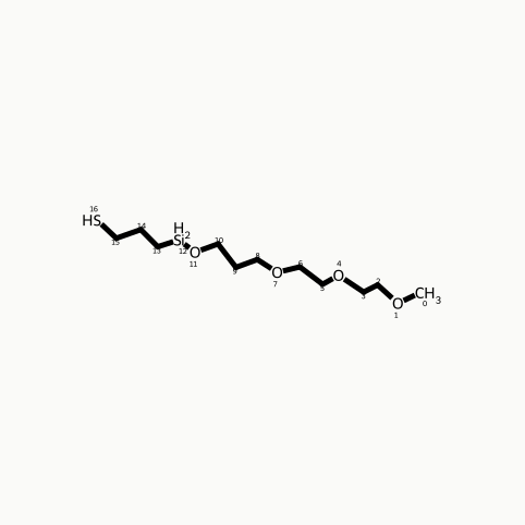 COCCOCCOCCCO[SiH2]CCCS